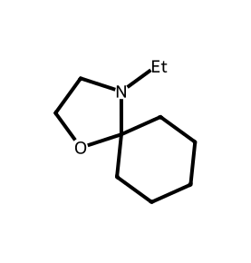 [CH2]CN1CCOC12CCCCC2